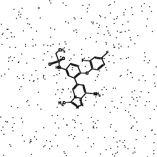 CCS(=O)(=O)Nc1ccc(Oc2ccc(F)cc2F)c(-c2cc(N)c3nnc(C)n3c2)c1